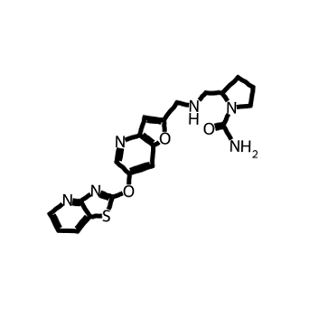 NC(=O)N1CCCC1CNCc1cc2ncc(Oc3nc4ncccc4s3)cc2o1